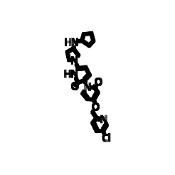 O=c1[nH]c(N2CCC(NC3CCCC3)C2)ccc1-n1ccc(OCc2ccc(Cl)cn2)cc1=O